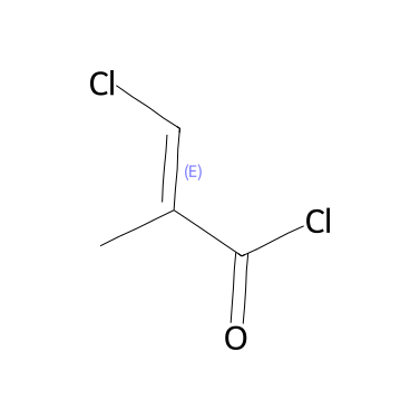 C/C(=C\Cl)C(=O)Cl